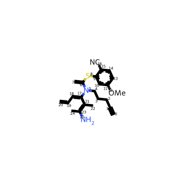 C#CCCCN(C(=C)Sc1cc(OC)ccc1C#N)C(=C/C=C)/C(C)=C(\C)N